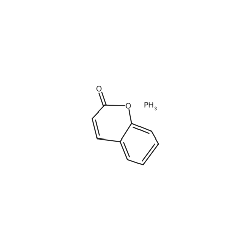 O=c1ccc2ccccc2o1.P